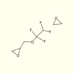 C1CO1.FC(F)C(F)(F)OCC1CO1